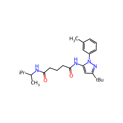 Cc1cccc(-n2nc(C(C)(C)C)cc2NC(=O)CCCC(=O)NC(C)C(C)C)c1